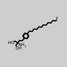 NC(CO)(CO)CCc1ccc(CCCCCCCCCCCCF)cc1